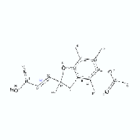 CC(=O)Oc1c(C)c(C)c2c(c1C)CC(C)(/C=C/C(=O)O)O2